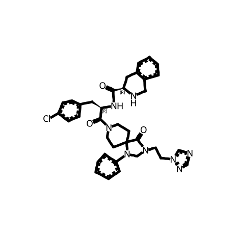 O=C(N[C@H](Cc1ccc(Cl)cc1)C(=O)N1CCC2(CC1)C(=O)N(CCn1cncn1)CN2c1ccccc1)[C@H]1Cc2ccccc2CN1